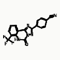 N#Cc1ccc(-c2nc3c4cccc(C(F)(F)F)c4[nH]c(=O)n3n2)cc1